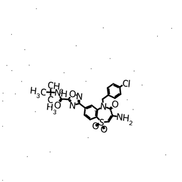 CC(C)(C)NC(=O)c1nc(-c2ccc3c(c2)N(Cc2ccc(Cl)cc2)C(=O)C(N)=CS3(=O)=O)no1